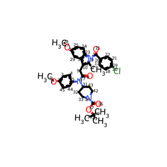 COc1ccc(N(C(=O)Cc2c(C)n(C(=O)c3ccc(Cl)cc3)c3ccc(OC)cc23)C2CCN(C(=O)OC(C)(C)C)CC2)cc1